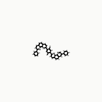 Cc1cc(-c2ccc3ccc4ccc(-c5ccccc5)nc4c3n2)c(C)cc1-c1ccc2ccc3cc(-c4ccccc4)cnc3c2n1